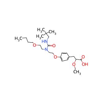 CCCCOCCN(CCOc1ccc(CC(OCC)C(=O)O)cc1)C(=O)NCC(C)(C)C